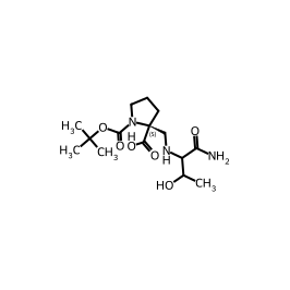 CC(O)C(NC[C@]1(C(=O)O)CCCN1C(=O)OC(C)(C)C)C(N)=O